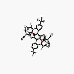 N#CC(C#N)=c1nc2c(-c3ccc(C(F)(F)F)cc3-c3c(F)c(F)nc(F)c3F)c3oc(=C(C#N)C#N)nc3c(-c3ccc(C(F)(F)F)cc3-c3c(F)c(F)nc(F)c3F)c2o1